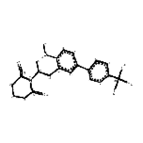 COc1ccc(-c2ccc(C(F)(F)F)cc2)cc1CC(C)N1C(=O)CCCC1=O